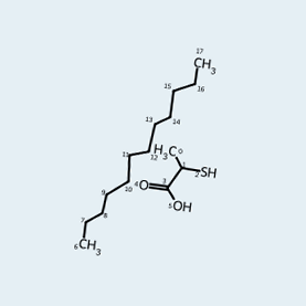 CC(S)C(=O)O.CCCCCCCCCCCC